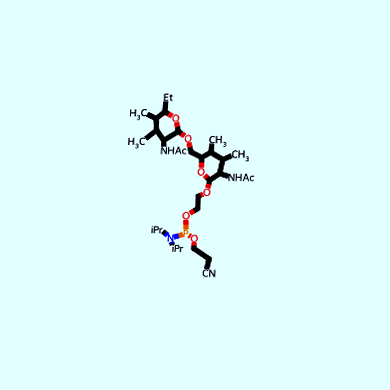 CCC1OC(OCC2OC(OCCOP(OCCC#N)N(C(C)C)C(C)C)C(NC(C)=O)C(C)C2C)C(NC(C)=O)C(C)C1C